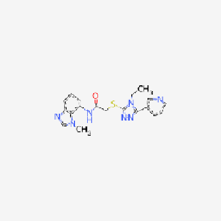 CCn1c(SCC(=O)Nc2cccc3ncn(C)c23)nnc1-c1cccnc1